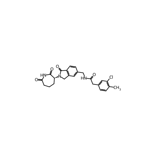 Cc1ccc(CC(=O)NCc2ccc3c(c2)CN([C@H]2CCCC(=O)NC2=O)C3=O)cc1Cl